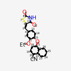 CCOc1cc(C=C2SC(=O)NC2=O)ccc1Oc1ccc(C#N)c2ccccc12